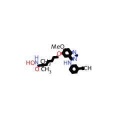 C#Cc1cccc(Nc2ncnc3cc(OC)c(OCCCCCC(C)(C)C(=O)NO)cc23)c1